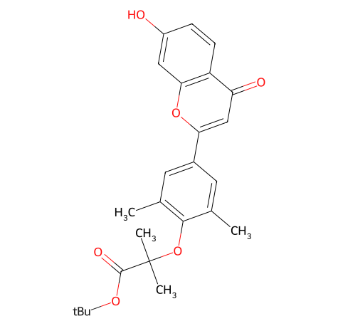 Cc1cc(-c2cc(=O)c3ccc(O)cc3o2)cc(C)c1OC(C)(C)C(=O)OC(C)(C)C